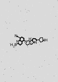 Bc1ccc2c(N3C[C@@H](C)N4Cc5nc(C6CCNCC6)ccc5[C@H]4C3)ccc(C#N)c2n1